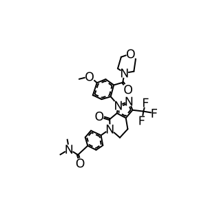 COc1ccc(-n2nc(C(F)(F)F)c3c2C(=O)N(c2ccc(C(=O)N(C)C)cc2)CC3)c(C(=O)N2CCOCC2)c1